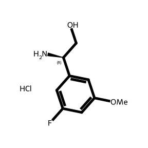 COc1cc(F)cc([C@@H](N)CO)c1.Cl